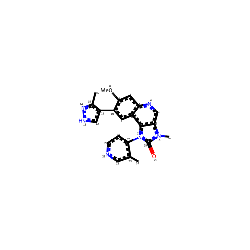 COc1cc2ncc3c(c2cc1-c1c[nH]nc1C)n(-c1ccncc1C)c(=O)n3C